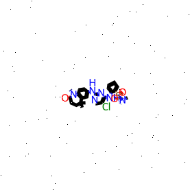 CN1C(=O)CCC(C)(C)c2cc(Nc3ncc(Cl)c(Nc4ccccc4S(=O)(=O)N(C)C)n3)ccc21